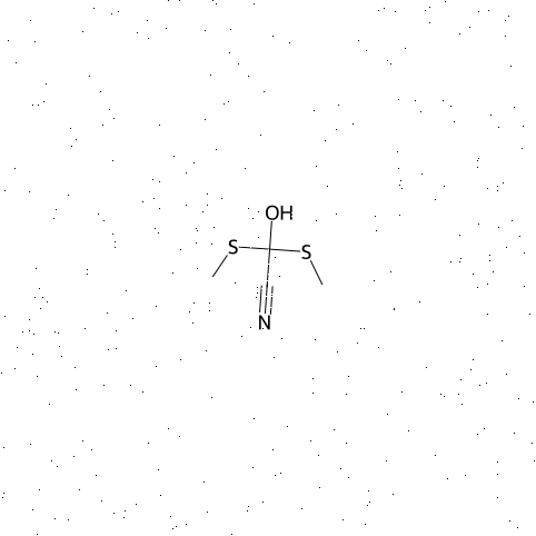 CSC(O)(C#N)SC